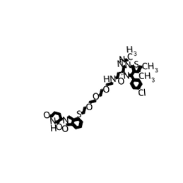 Cc1sc2c(c1C)C(c1ccc(Cl)cc1)=N[C@@H](CC(=O)NCCOCCOCCOCCSc1cccc3c1CN(C1CCC(=O)NC1=O)C3=O)c1nnc(C)n1-2